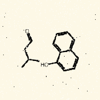 CC(C)CC=O.Oc1cccc2ccccc12